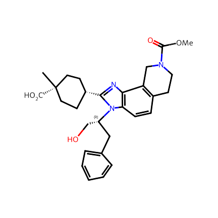 COC(=O)N1CCc2ccc3c(nc([C@H]4CC[C@@](C)(C(=O)O)CC4)n3[C@@H](CO)Cc3ccccc3)c2C1